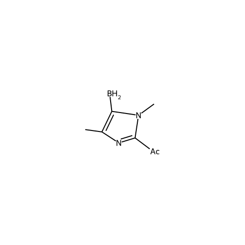 Bc1c(C)nc(C(C)=O)n1C